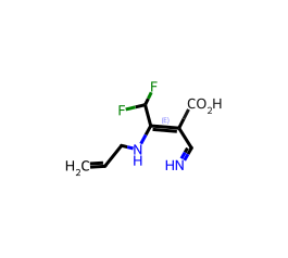 C=CCN/C(=C(\C=N)C(=O)O)C(F)F